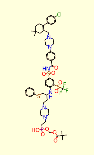 CC1(C)CCC(c2ccc(Cl)cc2)=C(CN2CCN(c3ccc(C(=O)NS(=O)(=O)c4ccc(NC(CCN5CCN(CCP(=O)(O)OCOC(=O)C(C)(C)C)CC5)CSc5ccccc5)c(S(=O)(=O)C(F)(F)F)c4)cc3)CC2)C1